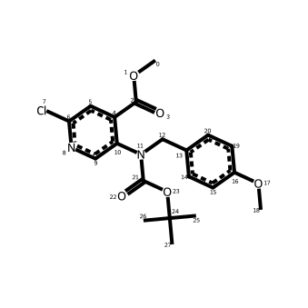 COC(=O)c1cc(Cl)ncc1N(Cc1ccc(OC)cc1)C(=O)OC(C)(C)C